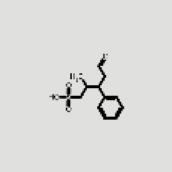 CC(CS(=O)(=O)O)C(CC=O)c1ccccc1